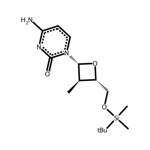 C[C@H]1[C@H](n2ccc(N)nc2=O)O[C@@H]1CO[Si](C)(C)C(C)(C)C